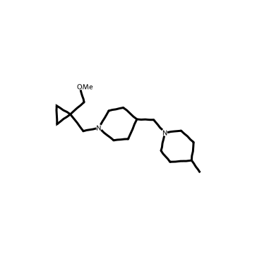 COCC1(CN2CCC(CN3CCC(C)CC3)CC2)CC1